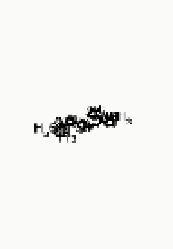 Cc1cccc2c(CCCN3CCC(c4cccc(NC(=O)C(C)C)c4)CC3)c(-c3ccccc3I)[nH]c12